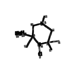 CN1CC(C)(C)N(Cl)C(C)(C)C1.[MgH2]